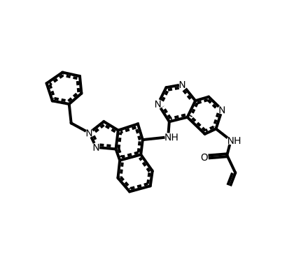 C=CC(=O)Nc1cc2c(Nc3cc4cn(Cc5ccccc5)nc4c4ccccc34)ncnc2cn1